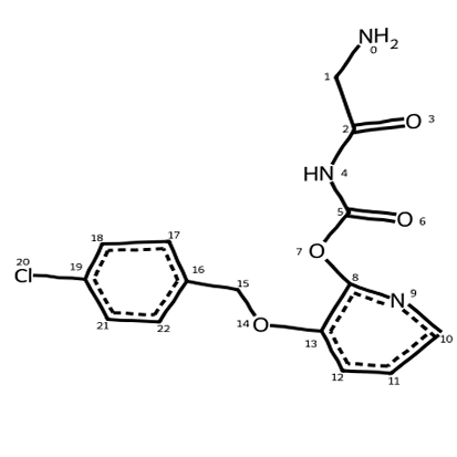 NCC(=O)NC(=O)Oc1ncccc1OCc1ccc(Cl)cc1